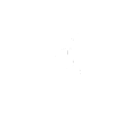 CCOP(=O)(OCC(O)CO)O[N+](C)(C)C